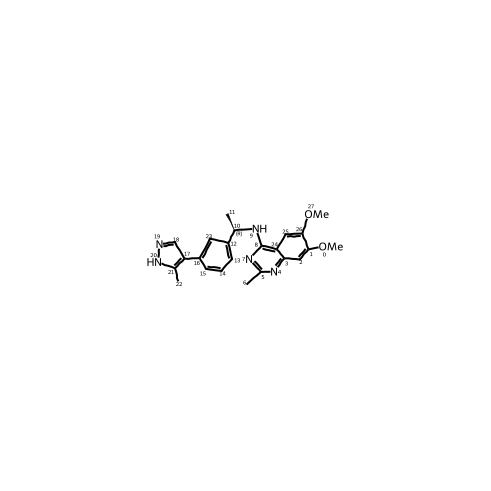 COc1cc2nc(C)nc(N[C@H](C)c3cccc(-c4cn[nH]c4C)c3)c2cc1OC